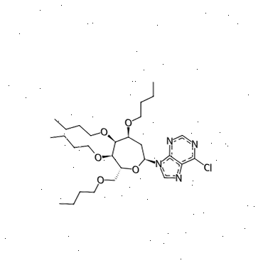 CCCCOC[C@H]1O[C@H](n2cnc3c(Cl)ncnc32)C[C@H](OCCCC)[C@H](OCCCC)[C@@H]1OCCCC